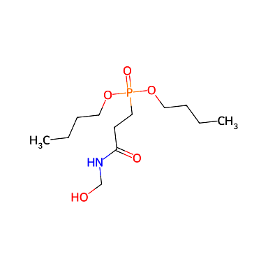 CCCCOP(=O)(CCC(=O)NCO)OCCCC